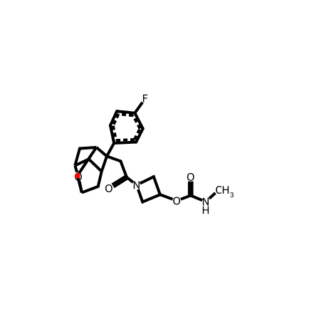 CNC(=O)OC1CN(C(=O)CC2(c3ccc(F)cc3)C3CC4CC2CC(C3)O4)C1